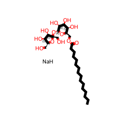 CCCCCCCCCCCCCCCC(=O)OC[C@H]1O[C@H](O[C@]2(CO)O[C@H](CO)[C@@H](O)[C@@H]2O)[C@H](O)[C@@H](O)[C@@H]1O.[NaH]